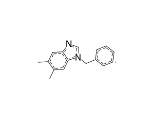 Cc1cc2ncn(Cc3c[c]ccc3)c2cc1C